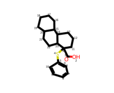 O=C(O)C1(Sc2ccccc2)CCCC2C3CCCCC3CCC21